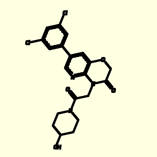 O=C(CN1C(=O)COc2cc(-c3cc(Cl)cc(Cl)c3)cnc21)N1CCC(O)CC1